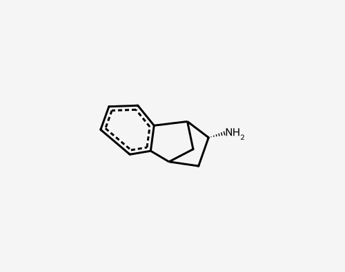 N[C@@H]1CC2CC1c1ccccc12